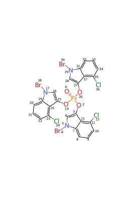 O=P(Oc1cn(Br)c2cccc(Cl)c12)(Oc1cn(Br)c2cccc(Cl)c12)Oc1cn(Br)c2cccc(Cl)c12